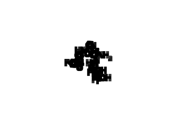 CC1=C(N)C(=NO)CC=C1c1ncccc1C(=O)Nc1ccc(-c2cc(F)ccc2S(C)(=O)=O)cc1.O=C(O)C(F)(F)F.O=C(O)C(F)(F)F